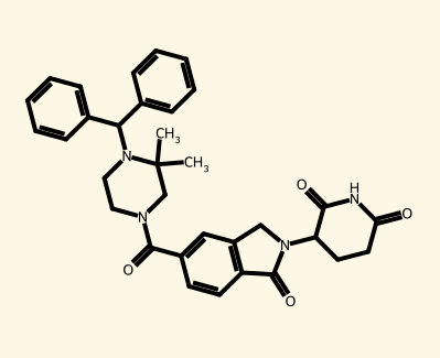 CC1(C)CN(C(=O)c2ccc3c(c2)CN(C2CCC(=O)NC2=O)C3=O)CCN1C(c1ccccc1)c1ccccc1